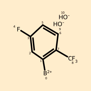 [B+2]c1cc(F)ccc1C(F)(F)F.[OH-].[OH-]